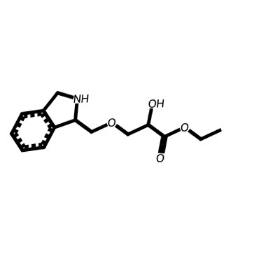 CCOC(=O)C(O)COCC1NCc2ccccc21